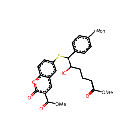 CCCCCCCCCc1ccc(C(Sc2ccc3oc(=O)c(C(=O)OC)cc3c2)C(O)CCCC(=O)OC)cc1